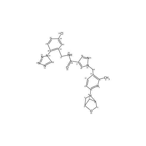 Cc1nc(N2CC3CC2CO3)ccc1Cn1cc(C(=O)NCc2cc(Cl)ccc2-n2cnnn2)cn1